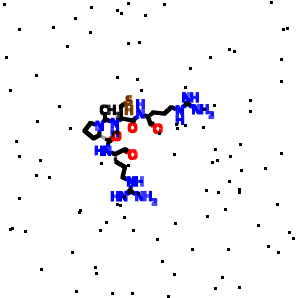 CC(N[C@@H](CS)C(=O)N[C@H](C=O)CCCNC(=N)N)N1CCC[C@H]1C(=O)N[C@H](C=O)CCCNC(=N)N